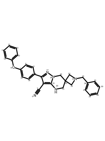 N#Cc1c(-c2ccc(Oc3ccccc3)cc2)nn2c1NCC1(CN(Cc3ccccc3)C1)C2